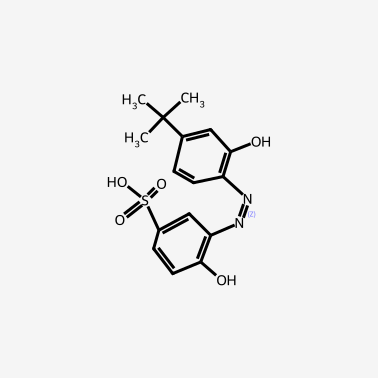 CC(C)(C)c1ccc(/N=N\c2cc(S(=O)(=O)O)ccc2O)c(O)c1